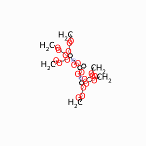 C=CCOOCCCOc1ccc(/C=C/C(=O)Oc2ccc(OC(=O)/C=C/c3ccc(OCCCOC(=O)C=C)c(OCCCOC(=O)C=C)c3OCCCOOCC=C)c3ccccc23)c(OCCCOC(=O)C=C)c1OCCCOOCC=C